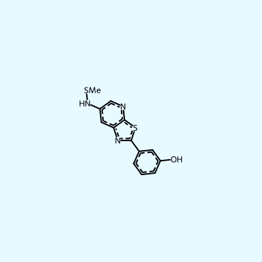 CSNc1cnc2sc(-c3cccc(O)c3)nc2c1